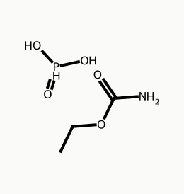 CCOC(N)=O.O=[PH](O)O